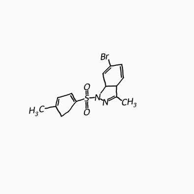 CC1=CC=C(S(=O)(=O)N2N=C(C)C3C=CC(Br)=CC32)CC1